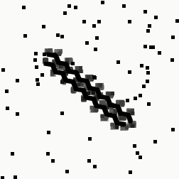 CCCCCCCCCCCCCCCC.CCCCCCCCCCCCCCCCC